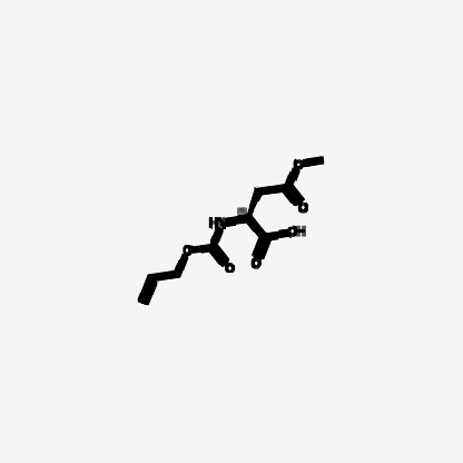 C=CCOC(=O)N[C@@H](CC(=O)OC)C(=O)O